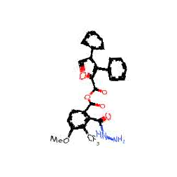 COc1ccc(C(=O)OC(=O)c2occ(-c3ccccc3)c2-c2ccccc2)c(C(=O)NN)c1C(F)(F)F